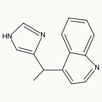 CC(c1c[nH]cn1)c1ccnc2ccccc12